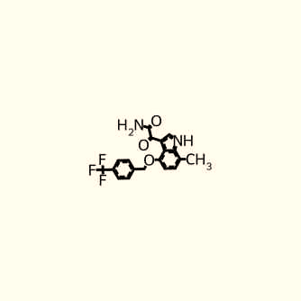 Cc1ccc(OCc2ccc(C(F)(F)F)cc2)c2c(C(=O)C(N)=O)c[nH]c12